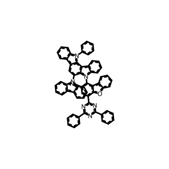 N#Cc1cc(-c2nc(-c3ccccc3)nc(-c3ccccc3)n2)c2oc3ccccc3c2c1-n1c2ccccc2c2c1c(-n1c3ccccc3c3ccccc31)cc1c3ccccc3n(-c3ccccc3)c12